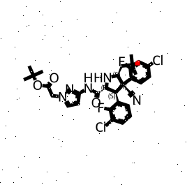 CC(C)(C)C[C@@H]1N[C@@H](C(=O)Nc2ccn(CC(=O)OC(C)(C)C)n2)[C@H](c2cccc(Cl)c2F)[C@@]1(C#N)c1ccc(Cl)cc1F